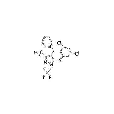 Cc1nn(CC(F)(F)F)c(Sc2cc(Cl)cc(Cl)c2)c1Cc1ccccc1